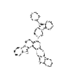 c1ccc(-n2c3ccccc3c3cc(-c4cc5cc6c(cc5c5c4ccc4c7ccccc7oc45)sc4ccccc46)ccc32)cc1